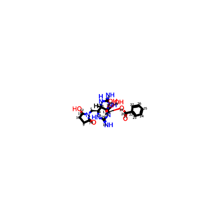 N=C1N[C@H]2[C@H](CN3C(=O)CCC3O)NC(=N)N3C[C@H](OC(=O)c4ccccc4)C(O)(O)C23N1